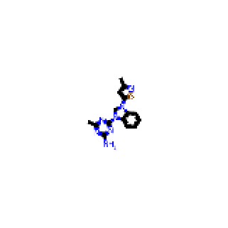 Cc1cc(N2CN(c3nc(C)nc(N)n3)c3ccccc32)sn1